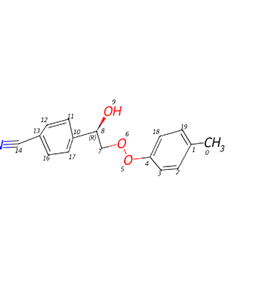 Cc1ccc(OOC[C@H](O)c2ccc(C#N)cc2)cc1